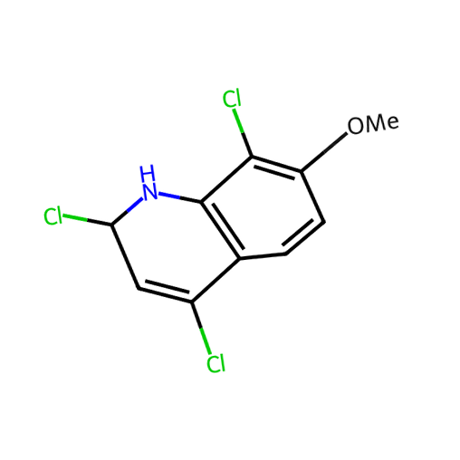 COc1ccc2c(c1Cl)NC(Cl)C=C2Cl